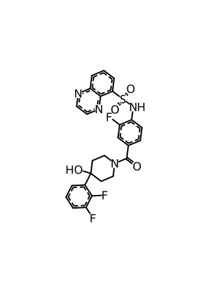 O=C(c1ccc(NS(=O)(=O)c2cccc3nccnc23)c(F)c1)N1CCC(O)(c2cccc(F)c2F)CC1